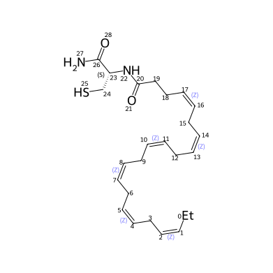 CC/C=C\C/C=C\C/C=C\C/C=C\C/C=C\C/C=C\CCC(=O)N[C@H](CS)C(N)=O